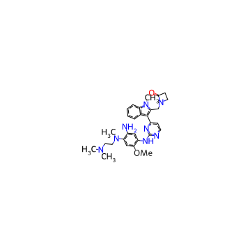 COc1cc(N(C)CCN(C)C)c(N)cc1Nc1nccc(-c2c(CN3CCC3=O)n(C)c3ccccc23)n1